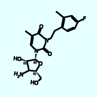 Cc1cc(F)ccc1CCn1c(=O)c(C)cn([C@@H]2O[C@H](CO)C(N)[C@@H]2O)c1=O